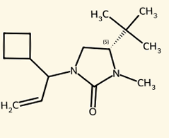 C=CC(C1CCC1)N1C[C@H](C(C)(C)C)N(C)C1=O